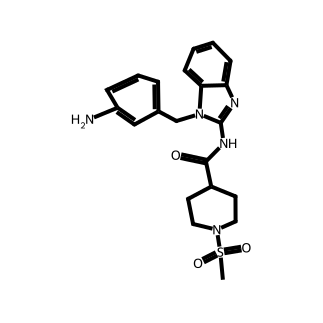 CS(=O)(=O)N1CCC(C(=O)Nc2nc3ccccc3n2Cc2cccc(N)c2)CC1